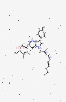 CCC/C=C/C=C\C=C(/C)Cn1cc(-c2ccc(C)cc2)c2ncc(C(/C(C)=C(/C)CC)=C(\C)O)cc21